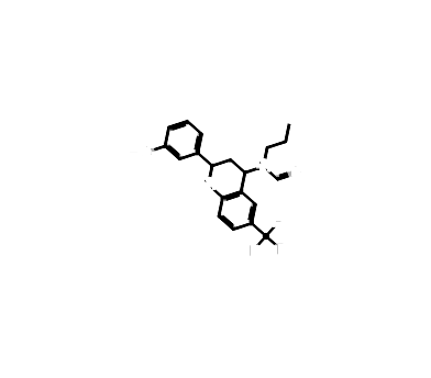 CCCN(C=O)C1CC(c2cccc(O)c2)Nc2ccc(C(F)(F)F)cc21